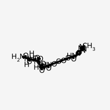 Cc1nnc(-c2ccc(CNC(=O)CCOCCOCCOCCOCCNC(=O)CCN3C(=O)CC(SCC(NC(=O)CNC(=O)CNC(=O)CN)C(=O)O)C3=O)cc2)nn1